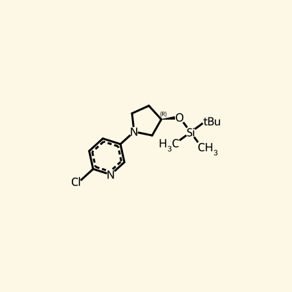 CC(C)(C)[Si](C)(C)O[C@@H]1CCN(c2ccc(Cl)nc2)C1